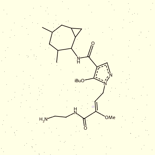 CO/C(=C\Cn1ncc(C(=O)NC2C(C)CC(C)CC3CC32)c1OCC(C)C)C(=O)NCCN